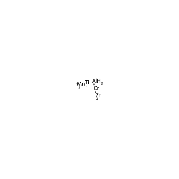 [AlH3].[Cr].[Mn].[Ti].[Zr]